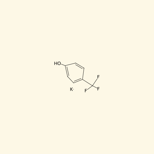 Oc1ccc(C(F)(F)F)cc1.[K]